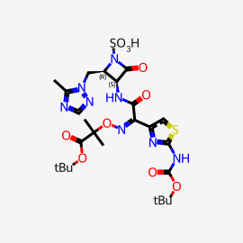 Cc1ncnn1C[C@@H]1[C@H](NC(=O)C(=NOC(C)(C)C(=O)OC(C)(C)C)c2csc(NC(=O)OC(C)(C)C)n2)C(=O)N1S(=O)(=O)O